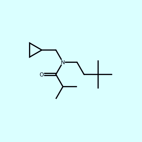 CC(C)C(=O)N(CCC(C)(C)C)CC1CC1